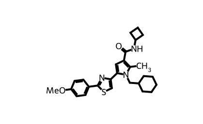 COc1ccc(-c2nc(-c3cc(C(=O)NC4CCC4)c(C)n3CC3CCCCC3)cs2)cc1